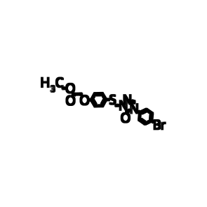 CCOC(=O)COc1ccc(SCn2ncn(-c3ccc(Br)cc3)c2=O)cc1